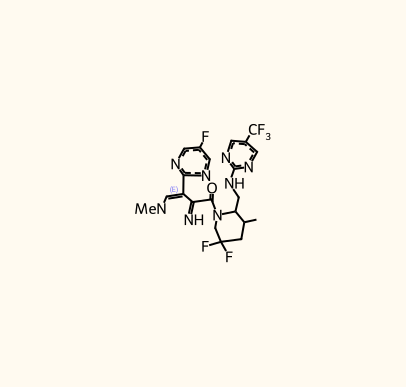 CN/C=C(\C(=N)C(=O)N1CC(F)(F)CC(C)C1CNc1ncc(C(F)(F)F)cn1)c1ncc(F)cn1